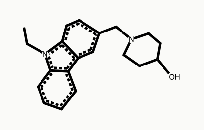 CCn1c2ccccc2c2cc(CN3CCC(O)CC3)ccc21